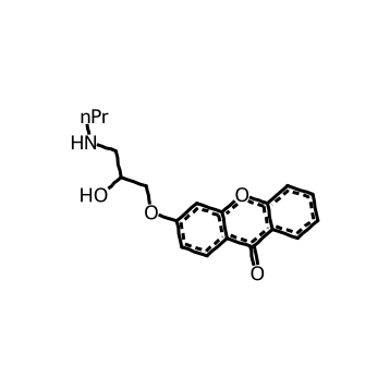 CCCNCC(O)COc1ccc2c(=O)c3ccccc3oc2c1